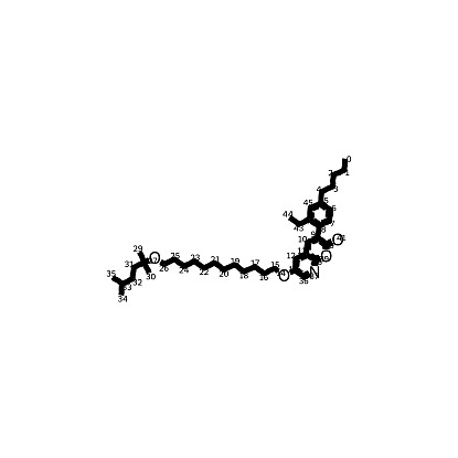 CCCCCc1ccc(-c2cc3cc(OCCCCCCCCCCCCOC(C)(C)CCC(C)C)cnc3oc2=O)c(CC)c1